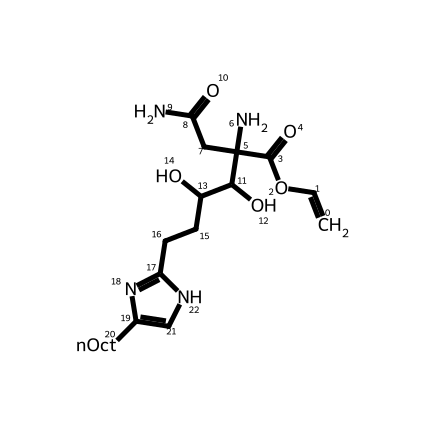 C=COC(=O)C(N)(CC(N)=O)C(O)C(O)CCc1nc(CCCCCCCC)c[nH]1